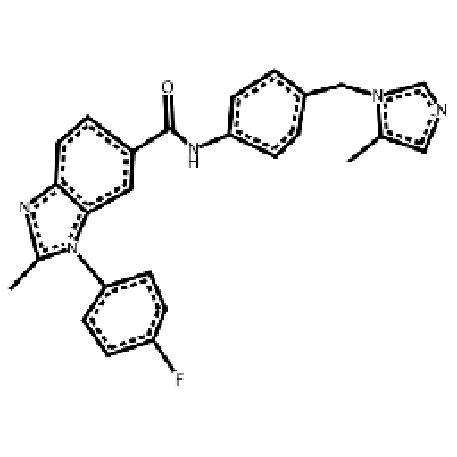 Cc1cncn1Cc1ccc(NC(=O)c2ccc3nc(C)n(-c4ccc(F)cc4)c3c2)cc1